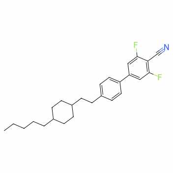 CCCCCC1CCC(CCc2ccc(-c3cc(F)c(C#N)c(F)c3)cc2)CC1